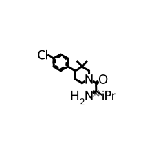 CC(C)[C@@H](N)C(=O)N1CCC(c2ccc(Cl)cc2)C(C)(C)C1